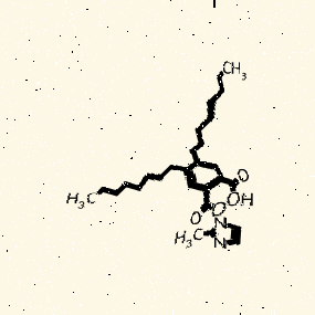 CCCCCCCCc1cc(C(=O)O)c(C(=O)On2ccnc2C)cc1CCCCCCCC